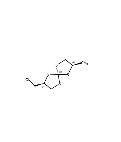 C[C@@H]1CS[C@@]2(SC[C@@H](CCl)S2)S1